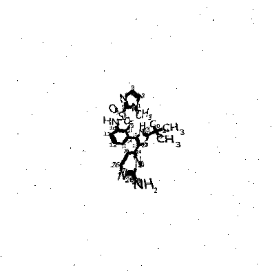 Cn1ccnc1S(=O)(=O)Nc1cccc(-c2nc(C(C)(C)C)sc2-c2ccnc(N)n2)c1F